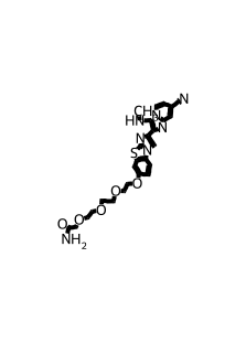 CNc1c(-c2cn3c(n2)sc2cc(OCCOCCOCCOCC(N)=O)ccc23)nc2cc(C#N)ccn12